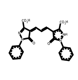 O=C(O)C1=NN(c2ccccc2)C(=O)/C1=C\C=C\c1c(C(=O)O)[nH]n(-c2ccccc2)c1=O